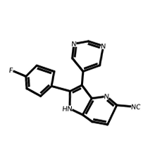 [C-]#[N+]c1ccc2[nH]c(-c3ccc(F)cc3)c(-c3cncnc3)c2n1